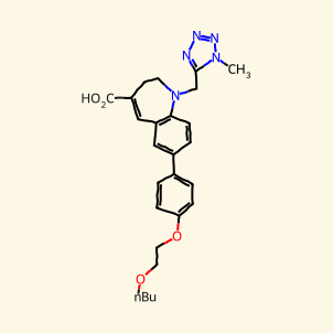 CCCCOCCOc1ccc(-c2ccc3c(c2)C=C(C(=O)O)CCN3Cc2nnnn2C)cc1